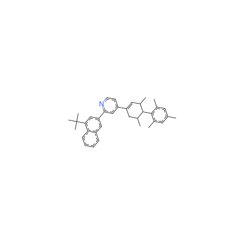 Cc1cc(C)c(C2C(C)C=C(c3ccnc(-c4cc(C(C)(C)C)c5ccccc5c4)c3)CC2C)c(C)c1